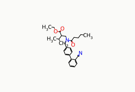 CCCCC(=O)N(Cc1ccc(-c2ccccc2C#N)cc1)CC(C(=O)OCC)C(C)C